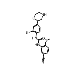 COc1ccc(C#N)cc1NC(=O)Nc1ccc(C2CNCCO2)cc1Br